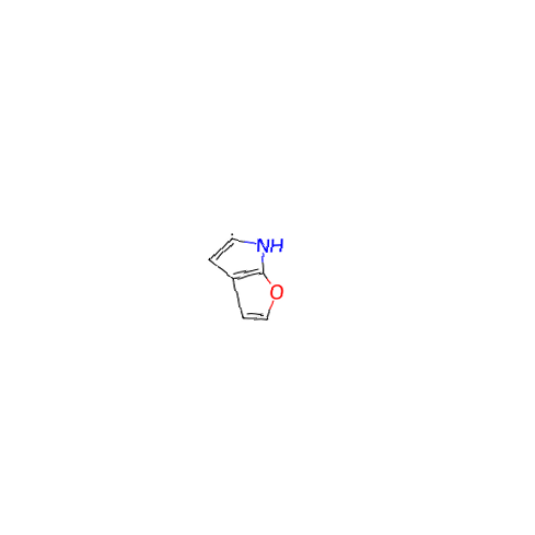 [c]1cc2ccoc2[nH]1